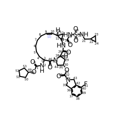 O=C(N[C@H]1CCCCC/C=C\[C@@H]2C[C@@]2(C(=O)NS(=O)(=O)NCC2CC2)NC(=O)[C@@H]2C[C@@H](OC(=O)N3Cc4cccc(F)c4C3)CN2C1=O)OC1CCCC1